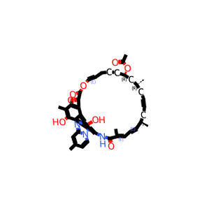 CC(=O)O[C@@H]1CCC/C=C/OC2Oc3c(C)c(O)c4c(O)c(c5c(nc6cc(C)ccn65)c4c3C2=O)NC(=O)/C(C)=C/C=C/[C@H](C)CC=CC[C@@H](C)C1